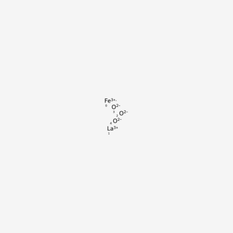 [Fe+3].[La+3].[O-2].[O-2].[O-2]